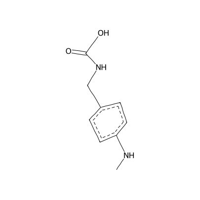 CNc1ccc(CNC(=O)O)cc1